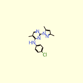 Cc1cc(C)n(-c2ncc(C)c(Nc3ccc(Cl)cc3)n2)n1